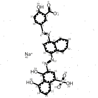 O=C([O-])c1cc(N=Nc2ccc(N=Nc3cc(S(=O)(=O)O)c4cccc(O)c4c3O)c3ccccc23)ccc1O.[Na+]